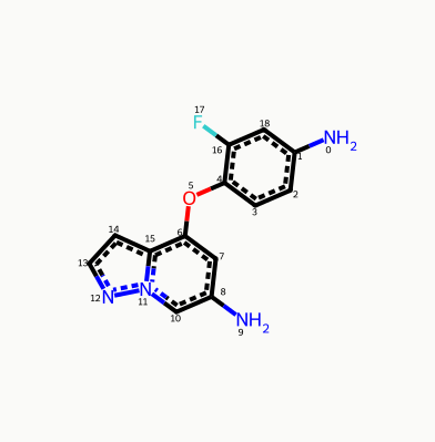 Nc1ccc(Oc2cc(N)cn3nccc23)c(F)c1